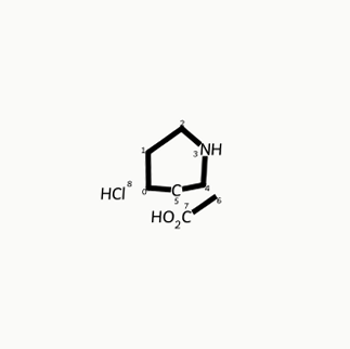 C1CCNCC1.CC(=O)O.Cl